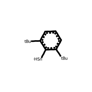 CC(C)(C)c1cccc(C(C)(C)C)[c]1[SnH]